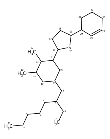 CCCCCC(CC)CC1CC(C)C(C)C(C2CCC(C3C=CCCC3)S2)C1